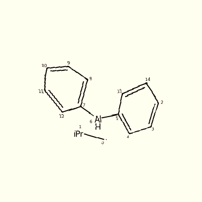 [CH2]C(C)C.c1cc[c]([AlH][c]2ccccc2)cc1